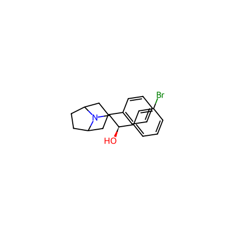 O[C@@H](CN1C2CCC1CC(c1ccccc1)C2)c1cccc(Br)c1